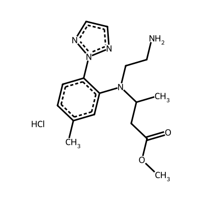 COC(=O)CC(C)N(CCN)c1cc(C)ccc1-n1nccn1.Cl